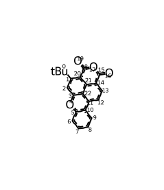 CC(C)(C)c1cc2oc3ccccc3c3ccc4c(=O)oc(=O)c1c4c23